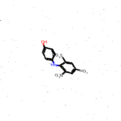 O=[N+]([O-])c1cc([N+](=O)[O-])c(Nc2ccc(O)cc2)c(S(=O)(=O)O)c1